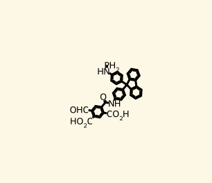 O=Cc1cc(C(=O)Nc2ccc(C3(c4ccc(NP)cc4)c4ccccc4-c4ccccc43)cc2)c(C(=O)O)cc1C(=O)O